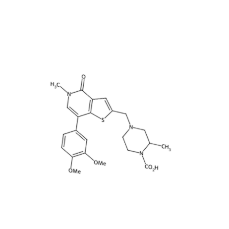 COc1ccc(-c2cn(C)c(=O)c3cc(CN4CCN(C(=O)O)C(C)C4)sc23)cc1OC